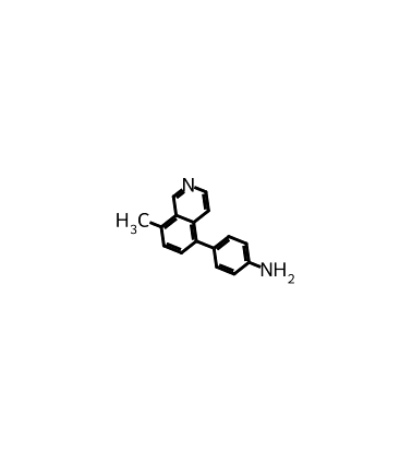 Cc1ccc(-c2ccc(N)cc2)c2ccncc12